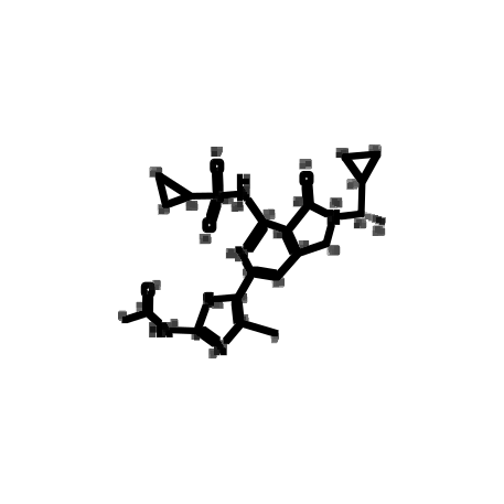 CC(=O)Nc1nc(C)c(-c2cc3c(c(NS(=O)(=O)C4CC4)n2)C(=O)N([C@@H](C)C2CC2)C3)s1